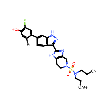 CCc1cc(O)c(F)cc1-c1ccc2c(-c3nc4c([nH]3)CCN(S(=O)(=O)N(CCC#N)CCOC)C4)n[nH]c2c1